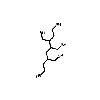 SCCC(CS)CC(CS)C(CS)CCS